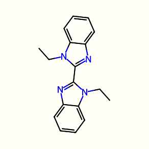 CCn1c(-c2nc3ccccc3n2CC)nc2ccccc21